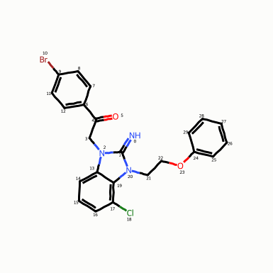 N=c1n(CC(=O)c2ccc(Br)cc2)c2cccc(Cl)c2n1CCOc1ccccc1